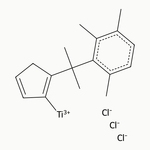 Cc1ccc(C)c(C(C)(C)C2=[C]([Ti+3])C=CC2)c1C.[Cl-].[Cl-].[Cl-]